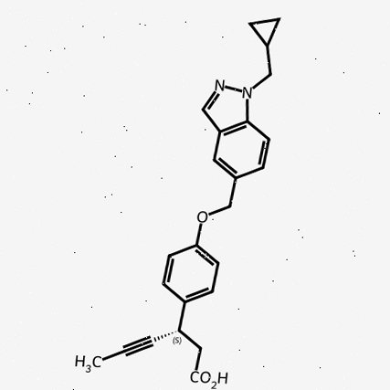 CC#C[C@@H](CC(=O)O)c1ccc(OCc2ccc3c(cnn3CC3CC3)c2)cc1